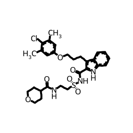 Cc1cc(OCCCc2c(C(=O)NS(=O)(=O)CCNC(=O)C3CCOCC3)[nH]c3ccccc23)cc(C)c1Cl